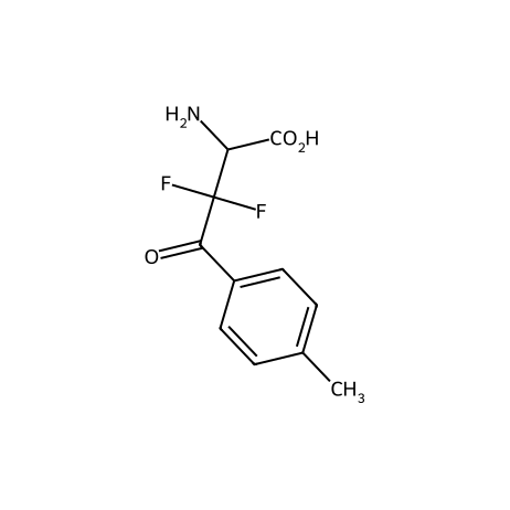 Cc1ccc(C(=O)C(F)(F)C(N)C(=O)O)cc1